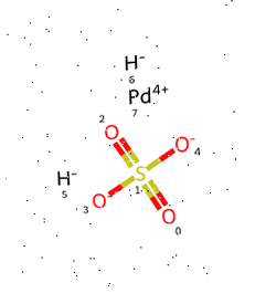 O=S(=O)([O-])[O-].[H-].[H-].[Pd+4]